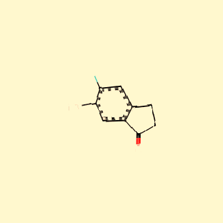 CC(C)c1cc2c(cc1F)CCC2=O